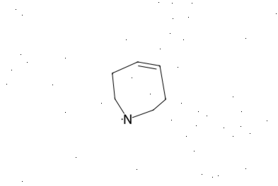 C1=CCC[N]CC1